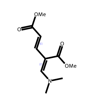 COC(=O)/C=C/C(=C/N(C)C)C(=O)OC